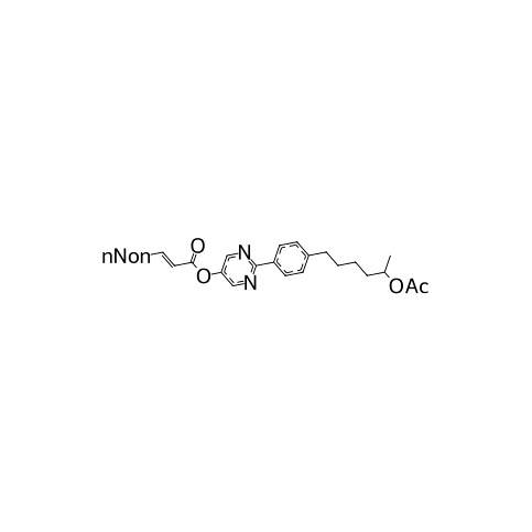 CCCCCCCCC/C=C/C(=O)Oc1cnc(-c2ccc(CCCCC(C)OC(C)=O)cc2)nc1